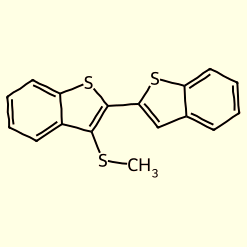 CSc1c(-c2cc3ccccc3s2)sc2ccccc12